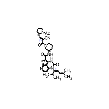 C=C(C)/C(=C\C=C(C)C)N1C(=O)Nc2c(C(=O)N[C@@H]3CCCN(C(=O)/C(C#N)=C/[C@H]4CCCN4C(C)=O)C3)sc3nccc1c23